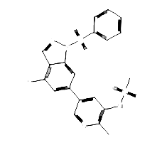 Cc1ncc(-c2cc(N)c3cnn(S(=O)(=O)c4ccccc4)c3c2)cc1NS(C)(=O)=O